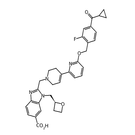 O=C(O)c1ccc2nc(CN3CC=C(c4cccc(OCc5ccc(C(=O)C6CC6)cc5F)n4)CC3)n(C[C@@H]3CCO3)c2c1